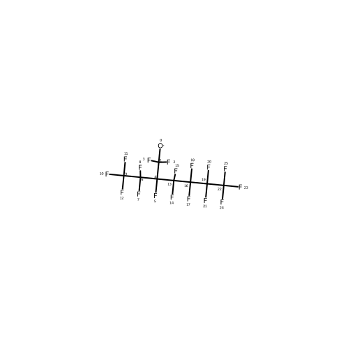 [O]C(F)(F)C(F)(C(F)(F)C(F)(F)F)C(F)(F)C(F)(F)C(F)(F)C(F)(F)F